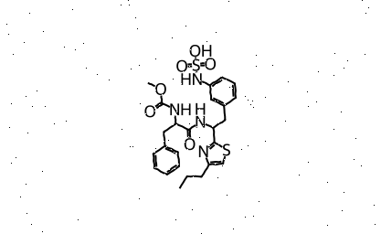 CCCc1csc(C(Cc2cccc(NS(=O)(=O)O)c2)NC(=O)C(Cc2ccccc2)NC(=O)OC)n1